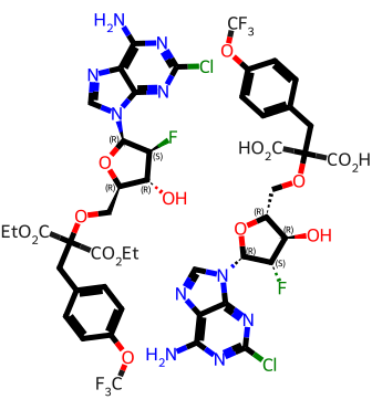 CCOC(=O)C(Cc1ccc(OC(F)(F)F)cc1)(OC[C@H]1O[C@@H](n2cnc3c(N)nc(Cl)nc32)[C@@H](F)[C@@H]1O)C(=O)OCC.Nc1nc(Cl)nc2c1ncn2[C@@H]1O[C@H](COC(Cc2ccc(OC(F)(F)F)cc2)(C(=O)O)C(=O)O)[C@@H](O)[C@@H]1F